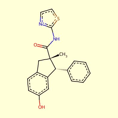 C[C@]1(C(=O)Nc2nccs2)Cc2ccc(O)cc2[C@H]1c1ccccc1